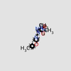 Cc1ccc(OC2CCN(CCn3cnc4c3c(=O)n(C)c(=O)n4C)CC2)cc1